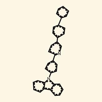 c1ccc(-c2ccc(-c3ccc(-c4ccc(-n5c6ccccc6c6ccccc65)cc4)nc3)cc2)cc1